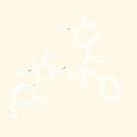 CC(C)C(=O)[C@H](C)OC(=O)[C@H](C)N[P@](=O)(OC[C@H]1O[C@@H](n2ccc(N)nc2=O)[C@](C)(F)[C@@H]1O)Oc1ccccc1